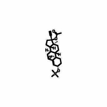 C#C[C@]1(OC(C)=O)CC[C@H]2[C@@H]3CCC4=C[C@@H](O[Si](C)(C)C)CC[C@]4(C=O)[C@H]3CC[C@@]21C